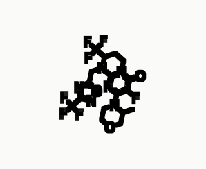 CC1COCCN1c1nc2n(c(=O)c1F)CCC(C(F)(F)F)N2Cc1nc(C(F)(F)F)no1